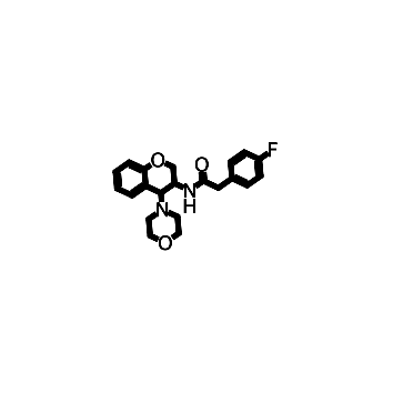 O=C(Cc1ccc(F)cc1)NC1COc2ccccc2C1N1CCOCC1